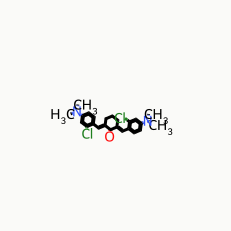 CN(C)c1ccc(C=C2CCCC(=Cc3ccc(N(C)C)cc3Cl)C2=O)c(Cl)c1